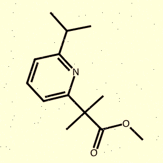 COC(=O)C(C)(C)c1cccc(C(C)C)n1